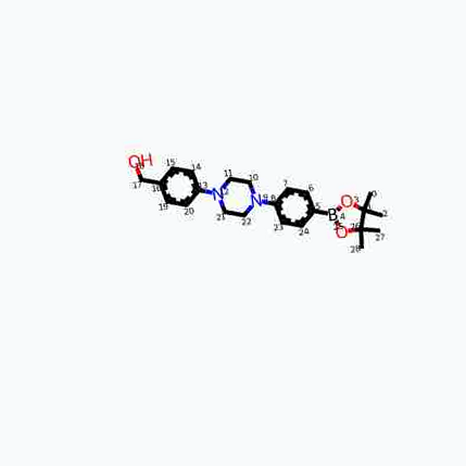 CC1(C)OB(c2ccc(N3CCN(c4ccc(CO)cc4)CC3)cc2)OC1(C)C